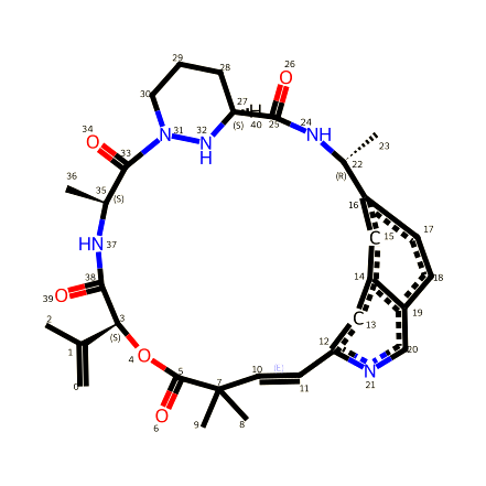 C=C(C)[C@@H]1OC(=O)C(C)(C)/C=C/c2cc3cc(ccc3cn2)[C@@H](C)NC(=O)[C@@H]2CCCN(N2)C(=O)[C@H](C)NC1=O